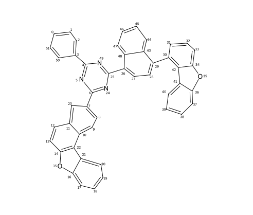 c1ccc(-c2nc(-c3ccc4c(ccc5oc6ccccc6c54)c3)nc(-c3ccc(-c4cccc5oc6ccccc6c45)c4ccccc34)n2)cc1